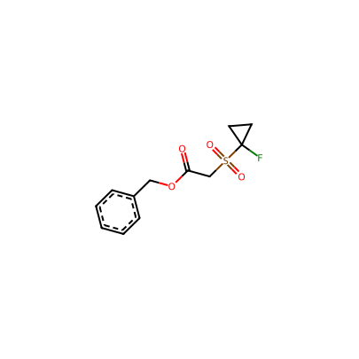 O=C(CS(=O)(=O)C1(F)CC1)OCc1ccccc1